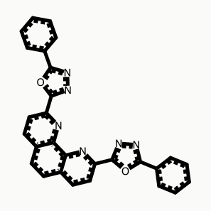 c1ccc(-c2nnc(-c3ccc4ccc5ccc(-c6nnc(-c7ccccc7)o6)nc5c4n3)o2)cc1